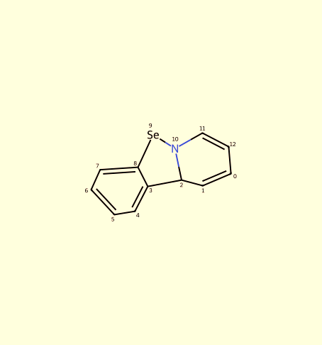 C1=CC2c3ccccc3[Se]N2C=C1